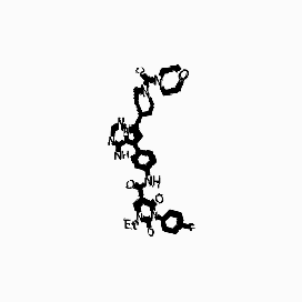 CCn1cc(C(=O)Nc2ccc(-c3cc(C4CCN(C(=O)N5CCOCC5)CC4)n4ncnc(N)c34)cc2)c(=O)n(-c2ccc(F)cc2)c1=O